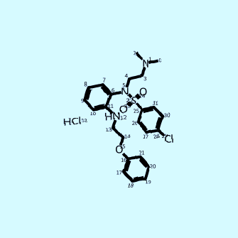 CN(C)CCN(c1ccccc1NCCOc1ccccc1)S(=O)(=O)c1ccc(Cl)cc1.Cl